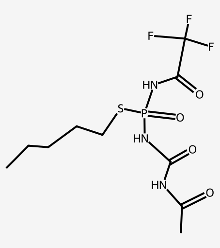 CCCCCSP(=O)(NC(=O)NC(C)=O)NC(=O)C(F)(F)F